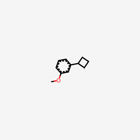 COc1cccc(C2[CH]CC2)c1